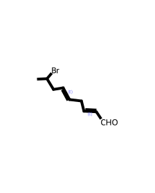 CC(Br)C/C=C/C/C=C/C=O